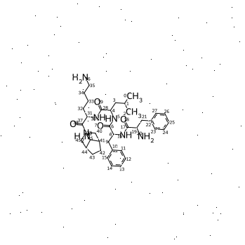 CC(C)CC(NC(=O)C(Cc1ccccc1)NC(=O)C(N)Cc1ccccc1)C(=O)NC(CCCCN)C(=O)N1CC2CCC(C1)C2N